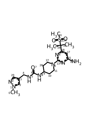 Cn1cc(CNC(=O)NC2CCN(c3nc(N)cc(C(C)(C)S(C)(=O)=O)n3)CC2)cn1